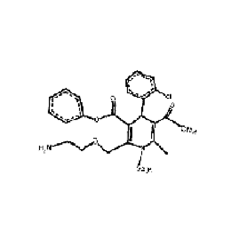 COC(=O)C1=C(C)N(S(=O)(=O)O)C(COCCN)=C(C(=O)Oc2ccccc2)C1c1ccccc1Cl